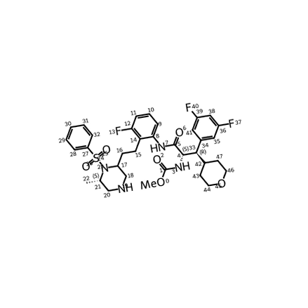 COC(=O)N[C@H](C(=O)Nc1cccc(F)c1CCC1CNC[C@H](C)N1S(=O)(=O)c1ccccc1)[C@@H](c1cc(F)cc(F)c1)C1CCOCC1